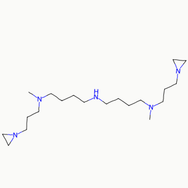 CN(CCCCNCCCCN(C)CCCN1CC1)CCCN1CC1